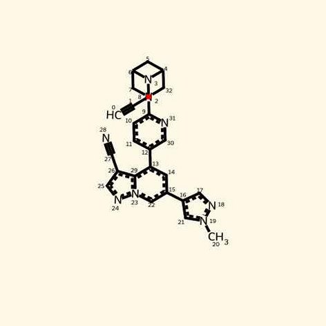 C#CCN1C2CC1CN(c1ccc(-c3cc(-c4cnn(C)c4)cn4ncc(C#N)c34)cn1)C2